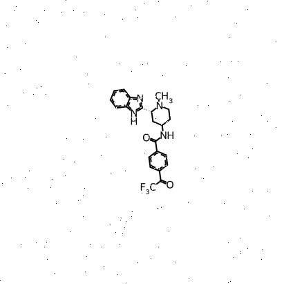 CN1CCC(NC(=O)c2ccc(C(=O)C(F)(F)F)cc2)C[C@@H]1c1nc2ccccc2[nH]1